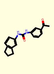 CC(=O)c1cccc(NC(=O)Nc2ccc3c(c2)CCC3)c1